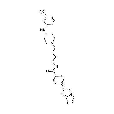 O=C(NCCCCN1CCC(Nc2cccc(C(F)(F)F)c2)CC1)c1ccc(-c2cn3ccsc3n2)cc1